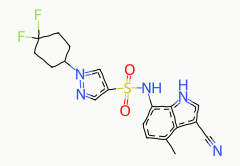 Cc1ccc(NS(=O)(=O)c2cnn(C3CCC(F)(F)CC3)c2)c2[nH]cc(C#N)c12